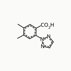 Cc1cc(C(=O)O)c(-n2nccn2)cc1C